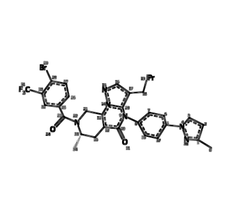 Cc1ccn(-c2ccc(-n3c(=O)c4c(n5ncc(CC(C)C)c35)CN(C(=O)c3ccc(Br)c(C(F)(F)F)c3)[C@@H](C)C4)cc2)n1